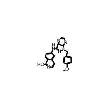 COc1ccc(Cn2nc(Nc3ccc4c(O)nccc4c3)c3nccnc32)cc1